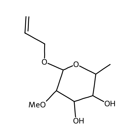 C=CCOC1OC(C)C(O)C(O)C1OC